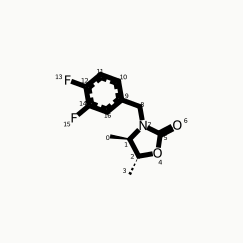 C[C@@H]1[C@@H](C)OC(=O)N1Cc1ccc(F)c(F)c1